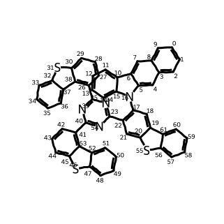 c1ccc2cc3c(cc2c1)c1ccccc1n3-c1cc2c(cc1-c1nc(-c3cccc4sc5ccccc5c34)nc(-c3cccc4sc5ccccc5c34)n1)sc1ccccc12